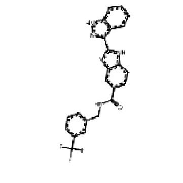 O=C(NCc1cccc(C(F)(F)F)c1)c1ccc2[nH]c(-c3n[nH]c4ccccc34)nc2c1